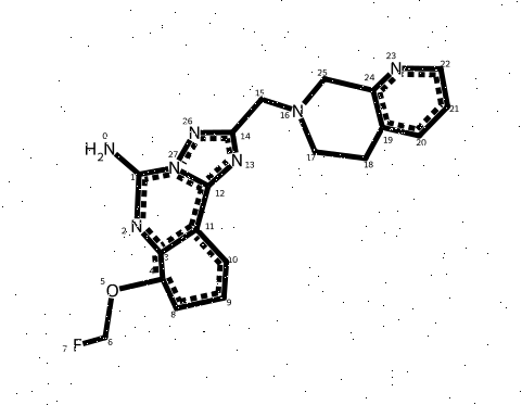 Nc1nc2c(OCF)cccc2c2nc(CN3CCc4cccnc4C3)nn12